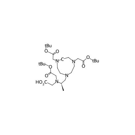 C[C@H](CN1CCN(CC(=O)OC(C)(C)C)CCN(CC(=O)OC(C)(C)C)CC1)N(CC(=O)O)CC(=O)OC(C)(C)C